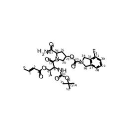 C/C=C/C(=O)O[C@H](C)C(NC(=O)OC(C)(C)C)C(=O)N1C[C@H](OC(=O)N2Cc3cccc(F)c3C2)CC1C(N)=O